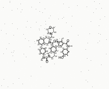 Cc1c(C(=O)N(C)c2ccc(O)cc2)cc(-c2cc3c(cc2C(=O)N2Cc4ccccc4C[C@H]2CN2CCOCC2)CN(C(=O)N(C)c2ccccc2)CC3)n1C